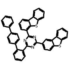 c1ccc(-c2ccc(-c3ccccc3-c3nc(-c4ccc5sc6ccccc6c5c4)nc(-c4cccc5c4sc4ccccc45)n3)cc2)cc1